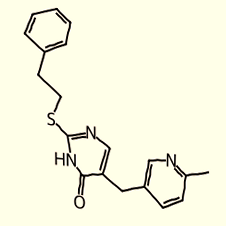 Cc1ccc(Cc2cnc(SCCc3ccccc3)[nH]c2=O)cn1